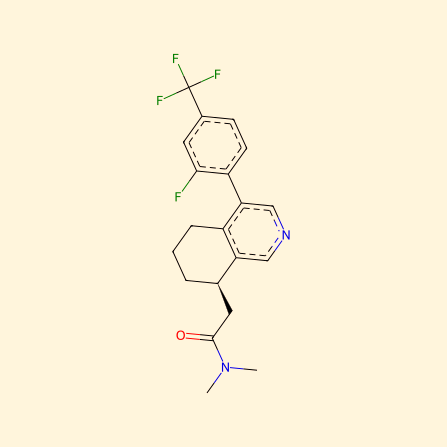 CN(C)C(=O)C[C@H]1CCCc2c(-c3ccc(C(F)(F)F)cc3F)cncc21